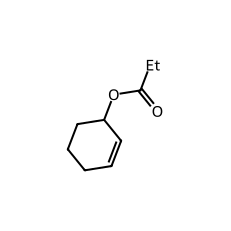 CCC(=O)OC1C=CCCC1